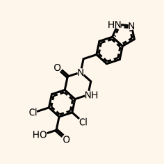 O=C(O)c1c(Cl)cc2c(c1Cl)NCN(Cc1ccc3cn[nH]c3c1)C2=O